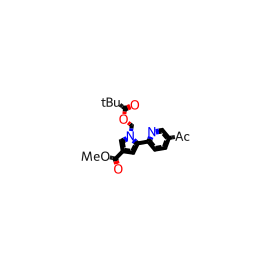 COC(=O)c1cc(-c2ccc(C(C)=O)cn2)n(COC(=O)C(C)(C)C)c1